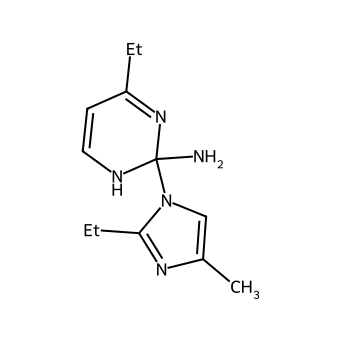 CCC1=NC(N)(n2cc(C)nc2CC)NC=C1